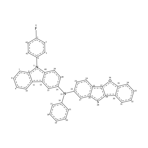 Fc1ccc(-n2c3ccccc3c3cc(N(c4ccccc4)c4ccc5c(c4)sc4c6ccccc6oc54)ccc32)cc1